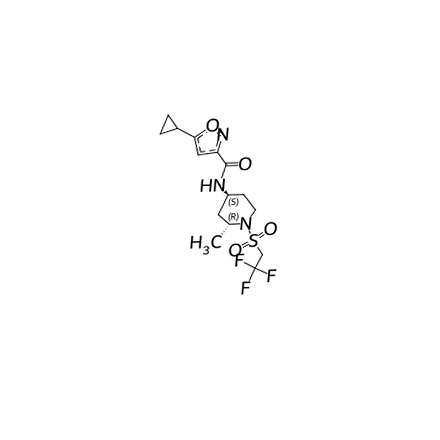 C[C@@H]1C[C@@H](NC(=O)c2cc(C3CC3)on2)CCN1S(=O)(=O)CC(F)(F)F